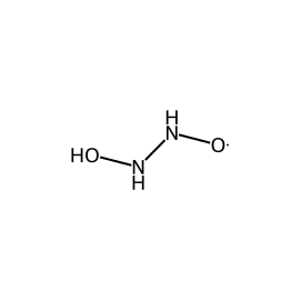 [O]NNO